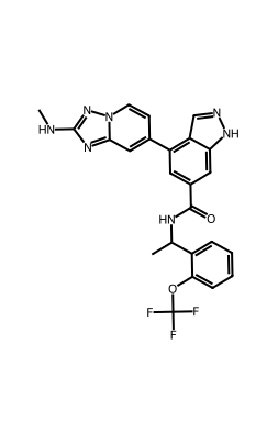 CNc1nc2cc(-c3cc(C(=O)NC(C)c4ccccc4OC(F)(F)F)cc4[nH]ncc34)ccn2n1